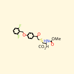 COC(=O)NC(CSCC(=O)c1ccc(OCc2c(F)cccc2F)cc1)C(=O)O